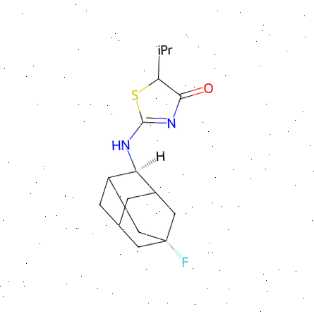 CC(C)C1SC(N[C@H]2C3CC4CC2C[C@](F)(C4)C3)=NC1=O